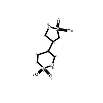 O=S1(=O)CCC(C2COS(=O)(=O)C2)CO1